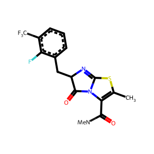 CNC(=O)C1=C(C)SC2=NC(Cc3cccc(C(F)(F)F)c3F)C(=O)N21